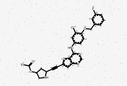 CCC(=O)OC1CNC(C#Cc2cc3ncnc(Nc4ccc(OCc5cccc(F)c5)c(Cl)c4)c3s2)C1